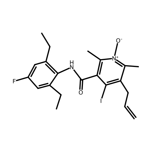 C=CCc1c(I)c(C(=O)Nc2c(CC)cc(F)cc2CC)c(C)[n+]([O-])c1C